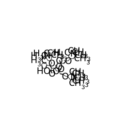 CN1C(C)(C)CC(OC=CC(=O)OCC(OC(=O)C=COC2CC(C)(C)N(C)C(C)(C)C2)C(C(=O)O)=C(OC2CC(C)(C)N(C)C(C)(C)C2)c2ccccc2)CC1(C)C